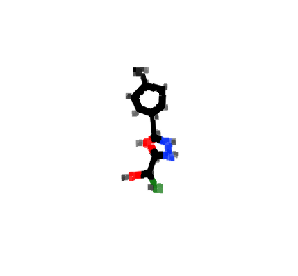 N#Cc1ccc(-c2nnc(C(=O)Cl)o2)cc1